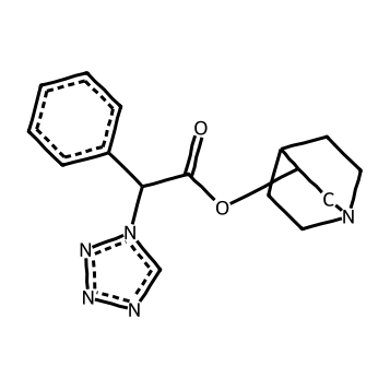 O=C(OC1CN2CCC1CC2)C(c1ccccc1)n1cnnn1